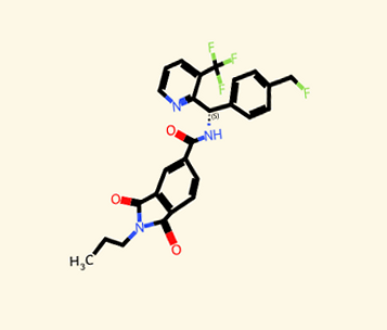 CCCN1C(=O)c2ccc(C(=O)N[C@@H](c3ccc(CF)cc3)c3ncccc3C(F)(F)F)cc2C1=O